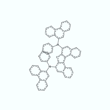 c1ccc(N(c2cc3ccccc3c3ccccc23)c2cc3ccccc3c3c2oc2c(N(c4ccccc4)c4cc5ccccc5c5ccccc45)cc4ccccc4c23)cc1